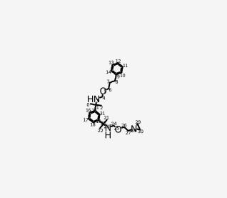 CC(C)(NCOCCCc1ccccc1)c1cccc(C(C)(C)NCOCCN2CC2)c1